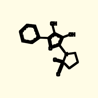 O=S1(=O)CCCN1c1oc(-c2ccccc2)c(O)c1O